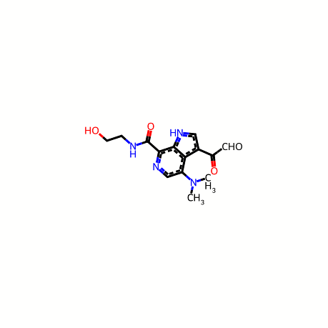 CN(C)c1cnc(C(=O)NCCO)c2[nH]cc(C(=O)C=O)c12